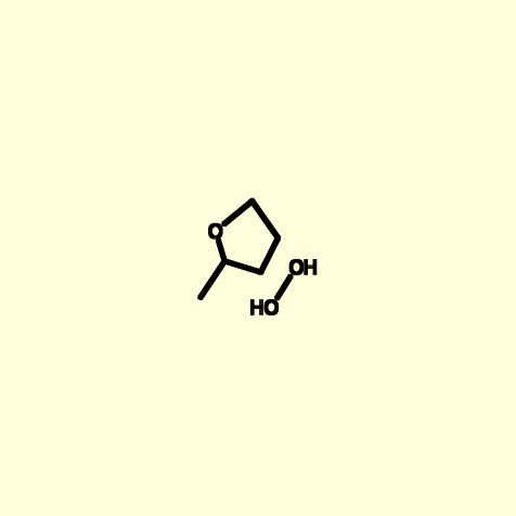 CC1CCCO1.OO